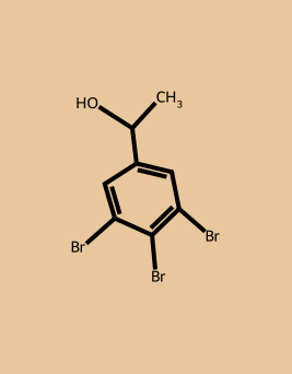 CC(O)c1cc(Br)c(Br)c(Br)c1